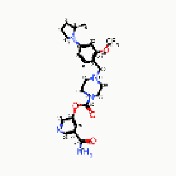 C[C@@H]1CCCN1c1ccc(CN2CCN(C(=O)Oc3cncc(C(N)=O)c3)CC2)c(OC(F)(F)F)c1